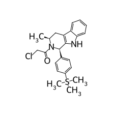 C[C@H]1Cc2c([nH]c3ccccc23)[C@@H](c2ccc(S(C)(C)C)cc2)N1C(=O)CCl